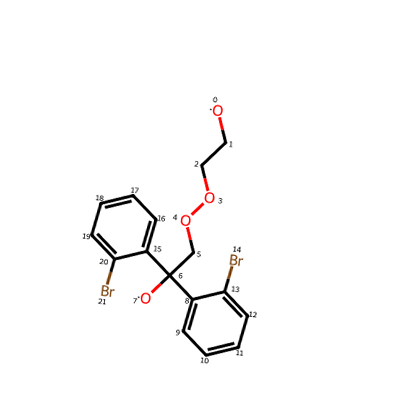 [O]CCOOCC([O])(c1ccccc1Br)c1ccccc1Br